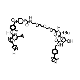 Cc1ncsc1-c1ccc(CNC(=O)[C@@H]2C[C@@H](O)CN2C(=O)[C@@H](NC(=O)COCCOCCOCCNC(=O)CN2CCN(C(=O)c3ccc(Nc4nc(C5CC5)cn5c(-c6cn[nH]c6)cnc45)c(F)c3)CC2)C(C)(C)C)cc1